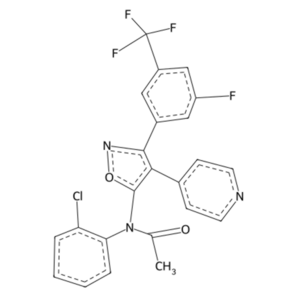 CC(=O)N(c1ccccc1Cl)c1onc(-c2cc(F)cc(C(F)(F)F)c2)c1-c1ccncc1